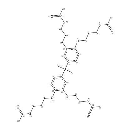 CC(=O)SCCCOc1ccc(C(C)(C)c2ccc(OCCCSC(C)=O)c(CCCSC(C)=O)c2)cc1CCCSC(C)=O